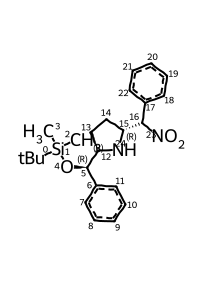 CC(C)(C)[Si](C)(C)O[C@H](c1ccccc1)[C@H]1CC[C@H](C(c2ccccc2)[N+](=O)[O-])N1